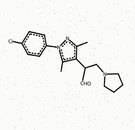 Cc1nn(-c2ccc(Cl)cc2)c(C)c1C(C=O)CN1CCCC1